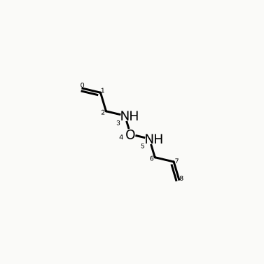 C=CCNONCC=C